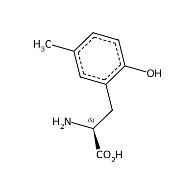 Cc1ccc(O)c(C[C@H](N)C(=O)O)c1